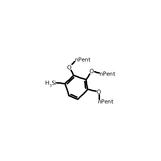 CCCCCOc1ccc([SiH3])c(OCCCCC)c1OCCCCC